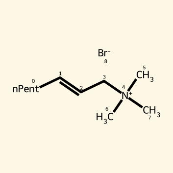 CCCCC/C=C/C[N+](C)(C)C.[Br-]